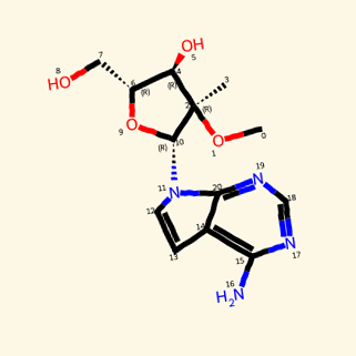 CO[C@]1(C)[C@H](O)[C@@H](CO)O[C@H]1n1ccc2c(N)ncnc21